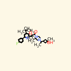 C=C(C1CC(C)(O)C1)N1CCN(C(=O)c2cc3nc(-c4ccc(F)cc4)cc(C(C)(C)C)c3o2)C(C)(C)C1